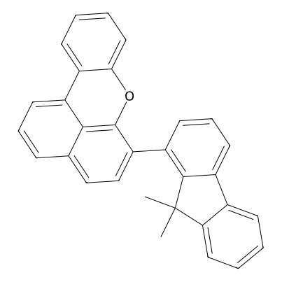 CC1(C)c2ccccc2-c2cccc(-c3ccc4cccc5c4c3Oc3ccccc3-5)c21